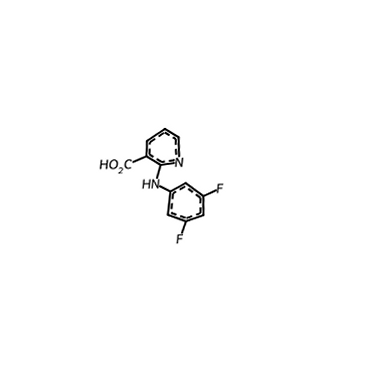 O=C(O)c1cccnc1Nc1cc(F)cc(F)c1